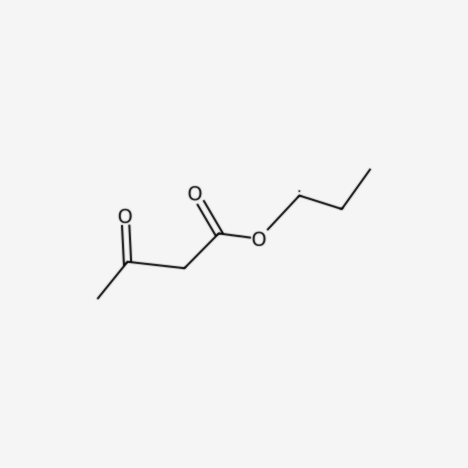 CC[CH]OC(=O)CC(C)=O